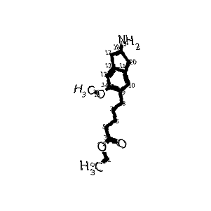 CCOC(=O)CCCCc1cc2c(cc1OC)CC(N)C2